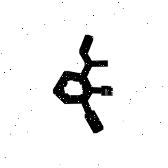 C#Cc1cccc([C](C)C=C)c1CC